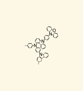 Cc1ccc(N(c2ccc(N3C4=C(CC(C)C=C4)C4C=CC=CC43)cc2)c2cccc3c2c2ccccc2n3-c2ccc(N3c4ccccc4OC4C=CC=CC43)cc2)cc1